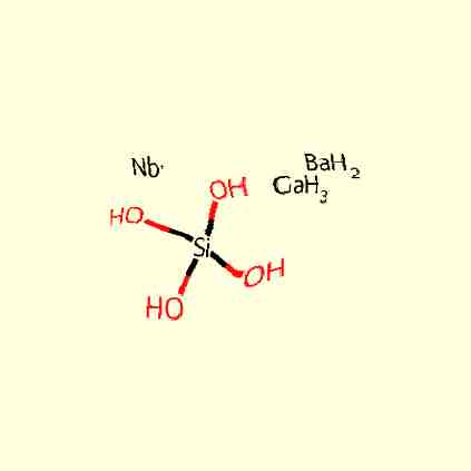 O[Si](O)(O)O.[BaH2].[GaH3].[Nb]